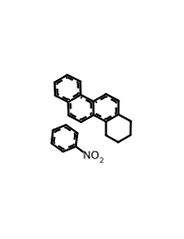 O=[N+]([O-])c1ccccc1.c1ccc2c(c1)ccc1c3c(ccc12)CCCC3